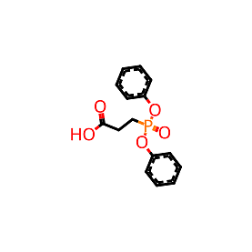 O=C(O)CCP(=O)(Oc1ccccc1)Oc1ccccc1